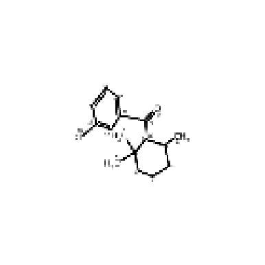 CC1CCCC(C)(C)[C@H]1C(=O)c1cccc(Cl)c1